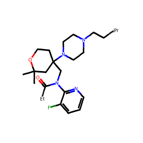 CCC(=O)N(CC1(N2CCN(CCC(C)C)CC2)CCOC(C)(C)C1)c1ncccc1F